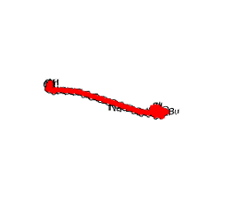 CC(C)(C)OC(=O)[C@H](Cc1ccc(NC(=O)c2c(Cl)cccc2Cl)cc1)NC(=O)C1(CCNC(=O)CCOCCOCCOCCOCCOCCOCCOCCOCCOCCOCCOCCOCCOCCOCCOCCOCCOCCOCCOCCOCCOCCOCCOCCOCCNC(=O)CCC(=O)ON2C(=O)CC(S(=O)(=O)[O-])C2=O)CCCC1.[Na+]